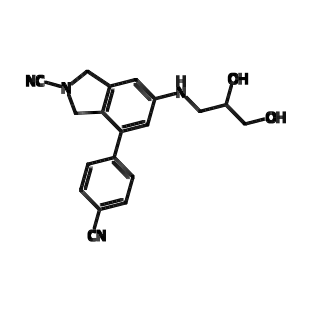 N#Cc1ccc(-c2cc(NCC(O)CO)cc3c2CN(C#N)C3)cc1